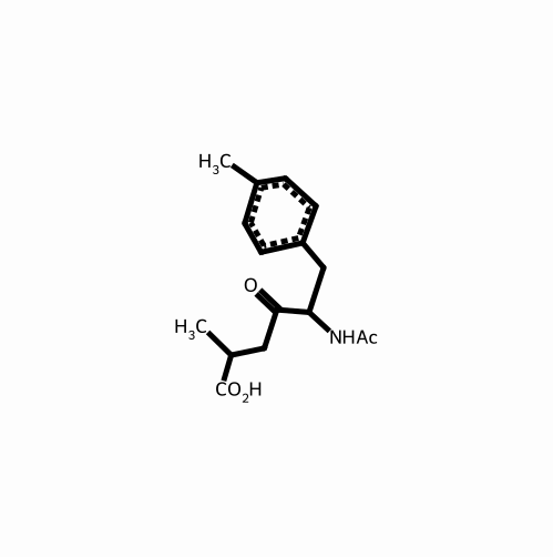 CC(=O)NC(Cc1ccc(C)cc1)C(=O)CC(C)C(=O)O